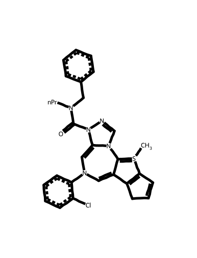 CCCN(Cc1ccccc1)C(=O)N1N=CN2C1=CN(c1ccccc1Cl)C=C1C3=C(C=CC3)S(C)=C12